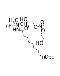 CCCCCCCCCCCCCCCCCC(=O)N[N+](C)(C)CCC.O=[N+](OCCO)OCCO